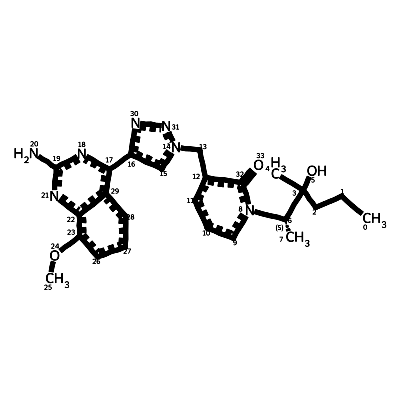 CCCC(C)(O)[C@H](C)n1cccc(Cn2cc(-c3nc(N)nc4c(OC)cccc34)nn2)c1=O